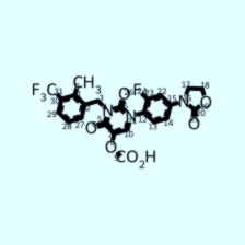 Cc1c(Cn2c(=O)c(OC(=O)O)cn(-c3ccc(N4CCOC4=O)cc3F)c2=O)cccc1C(F)(F)F